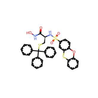 O=C(NO)[C@H](CSC(c1ccccc1)(c1ccccc1)c1ccccc1)NS(=O)(=O)c1ccc2c(c1)Sc1ccccc1O2